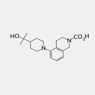 CC(C)(O)C1CCN(c2cccc3c2CCN(C(=O)O)C3)CC1